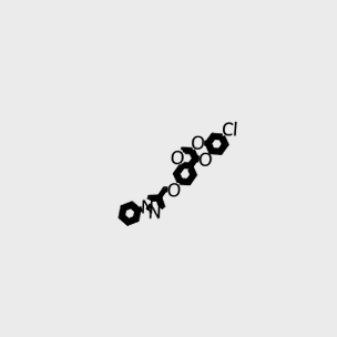 O=c1c(Oc2cccc(Cl)c2)coc2cc(OCc3cnn(-c4ccccc4)c3)ccc12